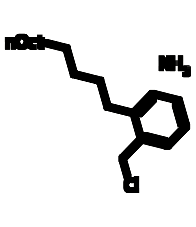 CCCCCCCCCCCCc1ccccc1CCl.N